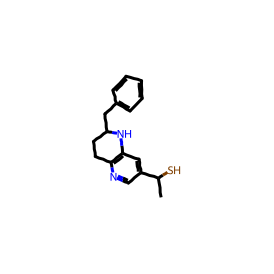 CC(S)c1cnc2c(c1)NC(Cc1ccccc1)CC2